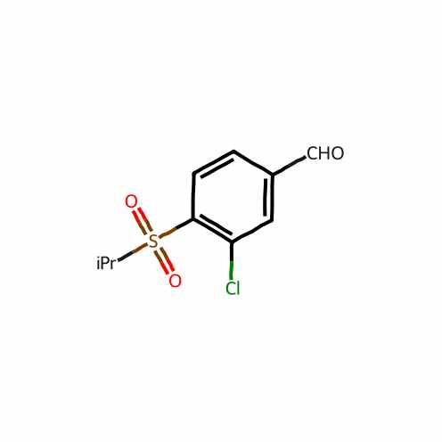 CC(C)S(=O)(=O)c1ccc(C=O)cc1Cl